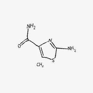 C.NC(=O)c1csc(N)n1